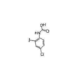 O=C(O)Nc1ccc(Cl)cc1I